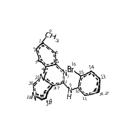 Cc1ccc2c(c1)nc(Nc1ccccc1Br)c1cncn12